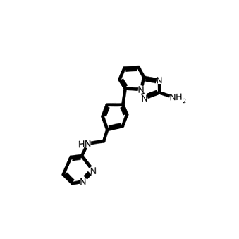 Nc1nc2cccc(-c3ccc(CNc4cccnn4)cc3)n2n1